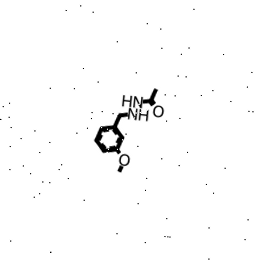 COc1cccc(CNNC(C)=O)c1